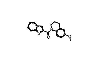 COc1ccc2c(c1)CCCN2C(=O)c1cc2ccccc2s1